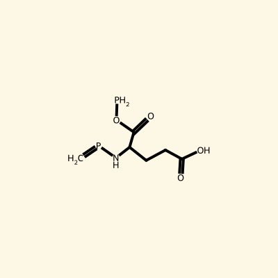 C=PNC(CCC(=O)O)C(=O)OP